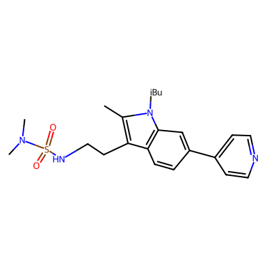 CCC(C)n1c(C)c(CCNS(=O)(=O)N(C)C)c2ccc(-c3ccncc3)cc21